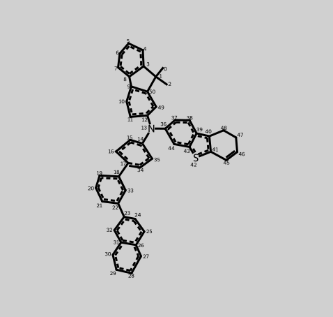 CC1(C)c2ccccc2-c2ccc(N(c3ccc(-c4cccc(-c5ccc6ccccc6c5)c4)cc3)c3ccc4c5c(sc4c3)C=CCC5)cc21